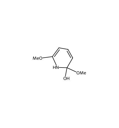 COC1=CC=CC(O)(OC)N1